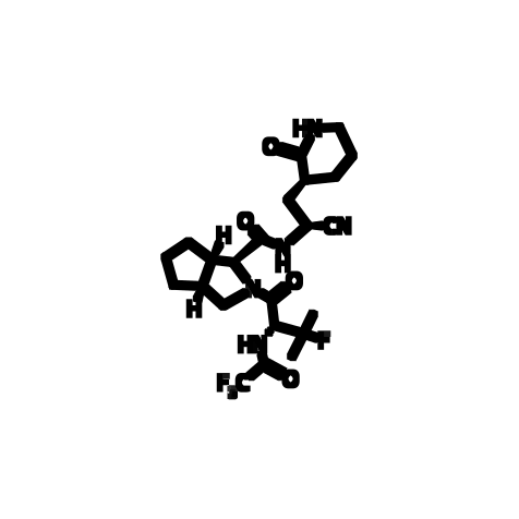 CC(C)(F)[C@H](NC(=O)C(F)(F)F)C(=O)N1C[C@@H]2CCC[C@@H]2[C@H]1C(=O)N[C@H](C#N)C[C@@H]1CCCNC1=O